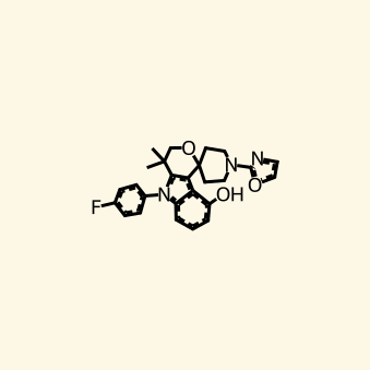 CC1(C)COC2(CCN(c3ncco3)CC2)c2c1n(-c1ccc(F)cc1)c1cccc(O)c21